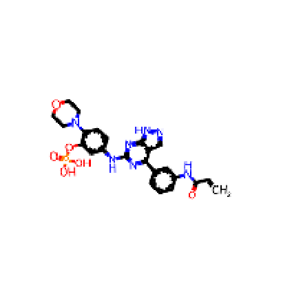 C=CC(=O)Nc1cccc(-c2nc(Nc3ccc(N4CCOCC4)c(OP(=O)(O)O)c3)nc3[nH]ncc23)c1